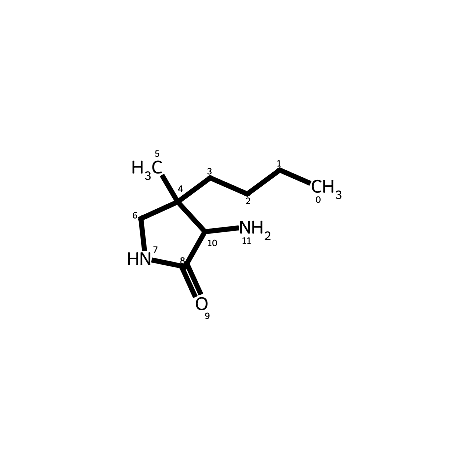 CCCCC1(C)CNC(=O)C1N